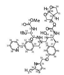 COC(=O)NC(C(=O)NN(Cc1ccc(-c2ccccn2)cc1)C[C@H](O)[C@H](Cc1ccc(OCc2csc(C)n2)cc1)NC(=O)O[C@H]1CO[C@H]2OCC[C@H]21)C(C)(C)C